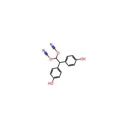 N#COC(OC#N)C(c1ccc(O)cc1)c1ccc(O)cc1